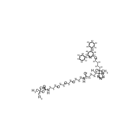 CC(C)(C)OC(=O)NCCCOCCOCCOCCCNC(=O)CCCCC1(C(C)(C)CCCCOc2cc(-c3ccccc3)cc(-c3ccccc3)n2)N=NN=N1